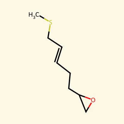 CSCC=CCCC1CO1